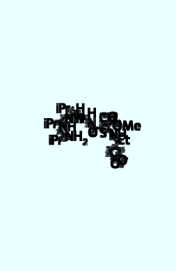 CCC(CNc1sc(C(=O)NCCNC[C@@H](NC[C@@H](NC[C@@H](N)C(C)C)C(C)C)C(C)C)c(C)c1C(=O)OC)c1ccc2c(c1)OCO2